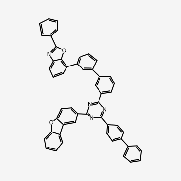 c1ccc(-c2ccc(-c3nc(-c4cccc(-c5cccc(-c6cccc7nc(-c8ccccc8)oc67)c5)c4)nc(-c4ccc5oc6ccccc6c5c4)n3)cc2)cc1